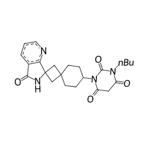 CCCCN1C(=O)CC(=O)N(C2CCC3(CC2)CC2(C3)NC(=O)c3cccnc32)C1=O